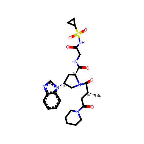 CC(C)(C)[C@H](CC(=O)N1CCCCC1)C(=O)N1C[C@H](n2cnc3ccccc32)C[C@H]1C(=O)NCC(=O)NS(=O)(=O)C1CC1